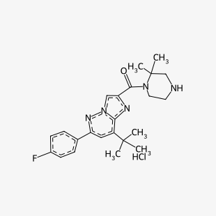 CC(C)(C)c1cc(-c2ccc(F)cc2)nn2cc(C(=O)N3CCNCC3(C)C)nc12.Cl